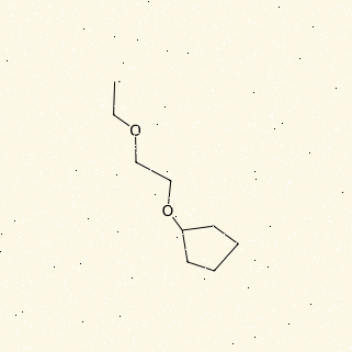 [CH2]COCCOC1CCCC1